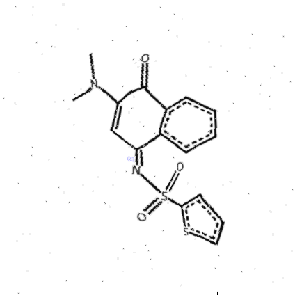 CN(C)C1=C/C(=N/S(=O)(=O)c2cccs2)c2ccccc2C1=O